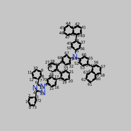 c1ccc(-c2nc(-c3ccccc3)n(-c3ccc(-c4ccccc4-c4ccccc4-c4ccc(N(c5ccc(-c6cccc7ccccc67)cc5)c5ccc(-c6cccc7ccccc67)cc5)cc4)cc3)n2)cc1